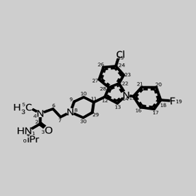 CC(C)NC(=O)N(C)CCN1CCC(c2cn(-c3ccc(F)cc3)c3cc(Cl)ccc23)CC1